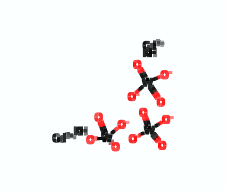 [Gd+3].[Gd+3].[KH].[KH].[O]=[W](=[O])([O-])[O-].[O]=[W](=[O])([O-])[O-].[O]=[W](=[O])([O-])[O-]